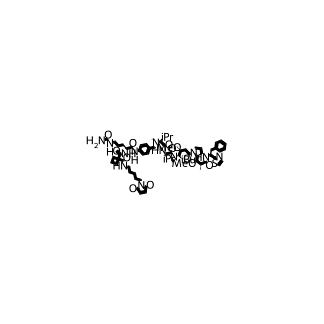 CC[C@H](C)[C@@H]([C@@H](CC(=O)N1CCC[C@H]1[C@H](OC)[C@@H](C)C(=O)N[C@@H](Cc1ccccc1)c1nccs1)OC)N(C)C(=O)[C@@H](NC(=O)[C@H](C(C)C)N(C)Cc1ccc(NC(=O)[C@H](CCCNC(N)=O)NC(=O)C2(C(=O)NCCCCCN3C(=O)C=CC3=O)CCC2)cc1)C(C)C